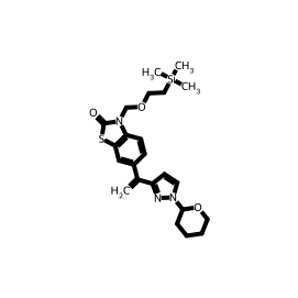 C=C(c1ccc2c(c1)sc(=O)n2COCC[Si](C)(C)C)c1ccn(C2CCCCO2)n1